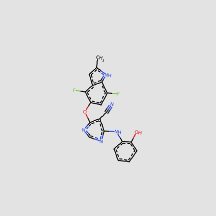 Cc1cc2c(F)c(Oc3ncnc(Nc4ccccc4O)c3C#N)cc(F)c2[nH]1